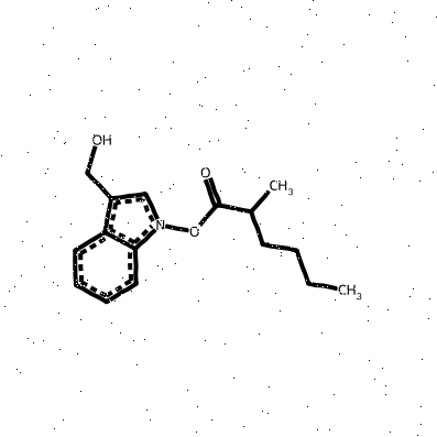 CCCCC(C)C(=O)On1cc(CO)c2ccccc21